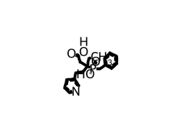 CCC(CCc1cccnc1)(CC(=O)O)P(=O)(O)Cc1ccccc1